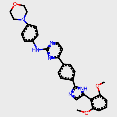 COc1cccc(OC)c1-c1cnc(-c2ccc(-c3ccnc(Nc4ccc(N5CCOCC5)cc4)n3)cc2)[nH]1